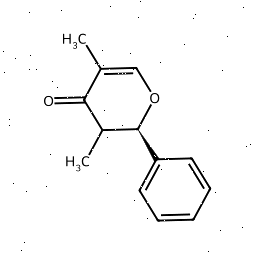 CC1=CO[C@@H](c2ccccc2)C(C)C1=O